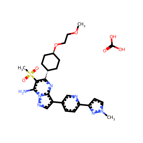 COCCO[C@H]1CC[C@H](c2nc3c(-c4ccc(-c5ccn(C)n5)nc4)cnn3c(N)c2S(C)(=O)=O)CC1.O=C(O)O